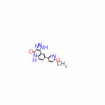 COc1ccc(-c2ccc3[nH]c(=O)c4nn[nH]c4c3c2)cn1